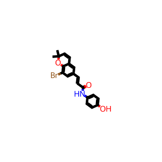 CC1(C)C=Cc2cc(C=CC(=O)Nc3ccc(O)cc3)cc(Br)c2O1